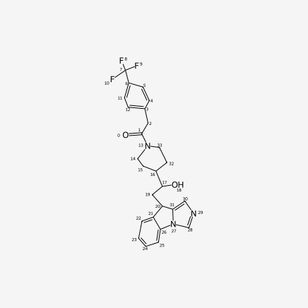 O=C(Cc1ccc(C(F)(F)F)cc1)N1CCC(C(O)CC2c3ccccc3-n3cncc32)CC1